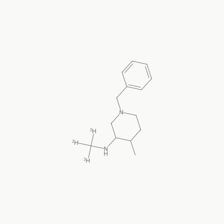 [2H]C([2H])([2H])NC1CN(Cc2ccccc2)CCC1C